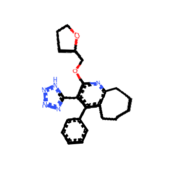 c1ccc(-c2c3c(nc(OCC4CCCO4)c2-c2nnn[nH]2)CCCCC3)cc1